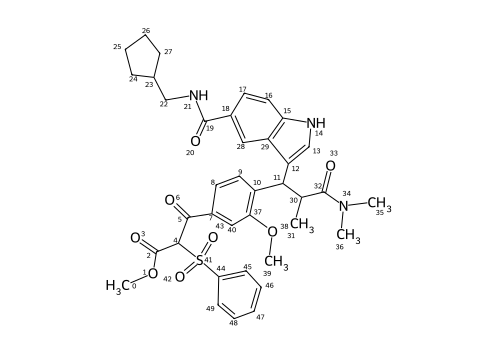 COC(=O)C(C(=O)c1ccc(C(c2c[nH]c3ccc(C(=O)NCC4CCCC4)cc23)C(C)C(=O)N(C)C)c(OC)c1)S(=O)(=O)c1ccccc1